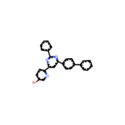 Brc1ccc(-c2cc(-c3ccc(-c4ccccc4)cc3)nc(-c3ccccc3)n2)nc1